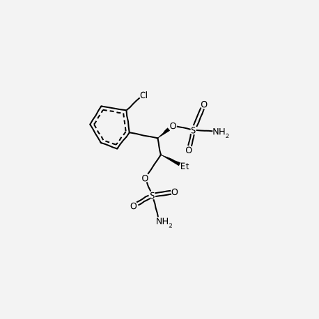 CC[C@@H](OS(N)(=O)=O)[C@H](OS(N)(=O)=O)c1ccccc1Cl